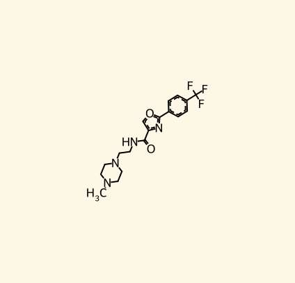 CN1CCN(CCNC(=O)c2coc(-c3ccc(C(F)(F)F)cc3)n2)CC1